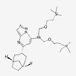 C[Si](C)(C)CCOCN(COCC[Si](C)(C)C)c1cc([C@@H]2C[C@@H]3CC[C@@H](C3)C2)nc2ccnn12